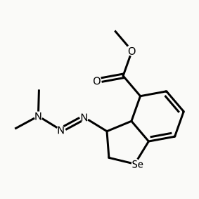 COC(=O)C1C=CC=C2[Se]CC(N=NN(C)C)C21